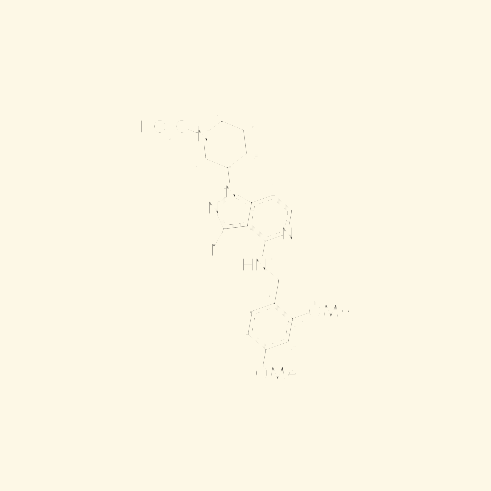 COc1ccc(CNc2nccc3c2c(I)nn3C2CCCN(C(=O)O)C2)c(OC)c1